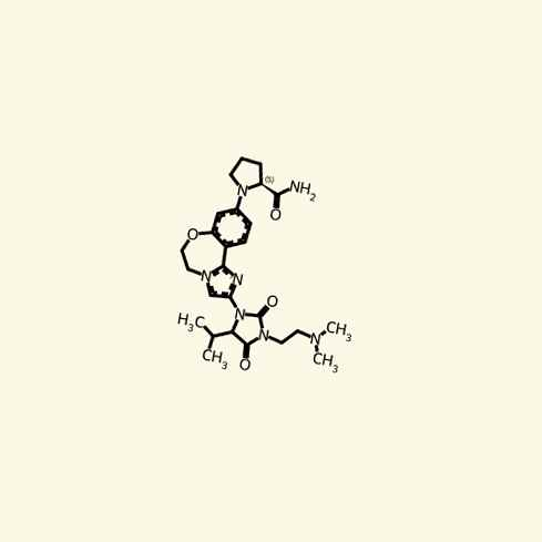 CC(C)C1C(=O)N(CCN(C)C)C(=O)N1c1cn2c(n1)-c1ccc(N3CCC[C@H]3C(N)=O)cc1OCC2